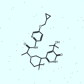 CC(C(=O)Nc1ccc(OCC2CC2)cn1)N1CCC(F)(F)C(c2c[nH]c(=O)c(C(C)(C)O)c2)C1